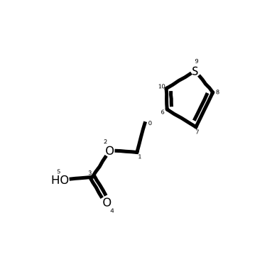 CCOC(=O)O.c1ccsc1